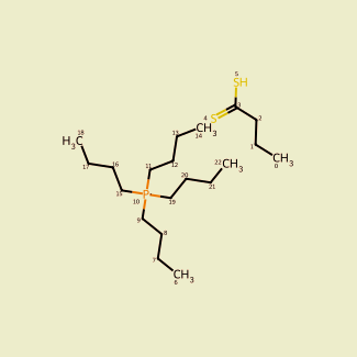 CCCC(=S)S.CCCC[P](CCCC)(CCCC)CCCC